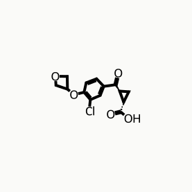 O=C(O)[C@H]1C[C@@H]1C(=O)c1ccc(OC2COC2)c(Cl)c1